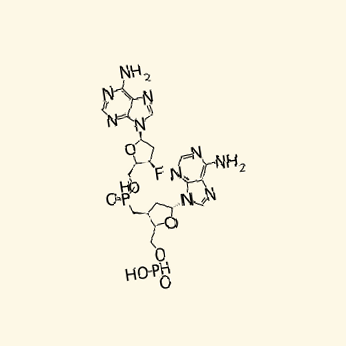 Nc1ncnc2c1ncn2[C@H]1C[C@H](C[PH](=O)OC[C@H]2O[C@@H](n3cnc4c(N)ncnc43)C[C@H]2F)C(CO[PH](=O)O)O1